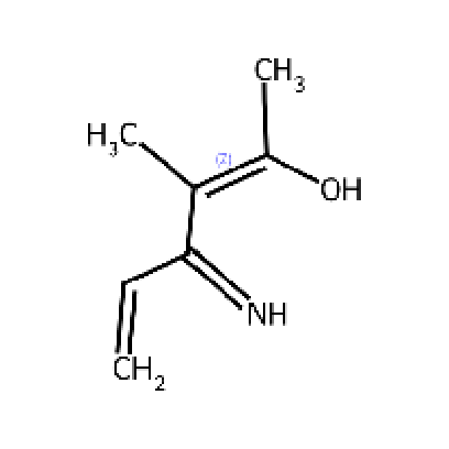 C=CC(=N)/C(C)=C(/C)O